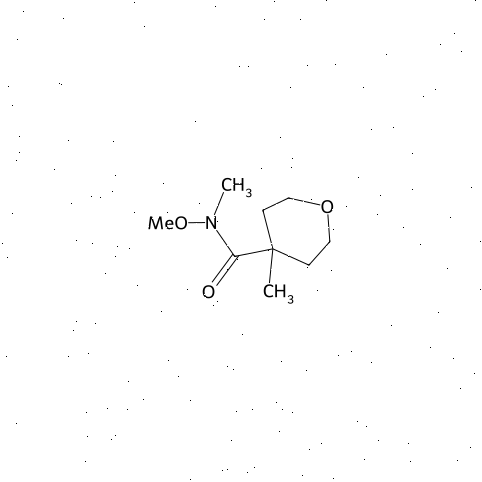 CON(C)C(=O)C1(C)CCOCC1